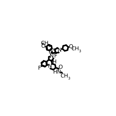 CCNC(=O)C1CCN2c3cc(F)ccc3C3CN(C(=O)[C@]4(F)CN(C5CCC(OC)CC5)C[C@H]4c4ccc(OC)cc4)C[C@@H]3C2C1